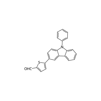 O=Cc1ccc(-c2ccc3c(c2)c2ccccc2n3-c2ccccc2)s1